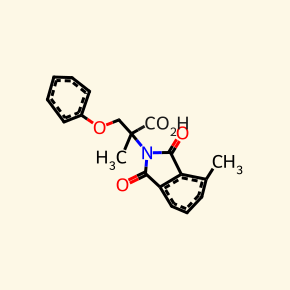 Cc1cccc2c1C(=O)N(C(C)(COc1ccccc1)C(=O)O)C2=O